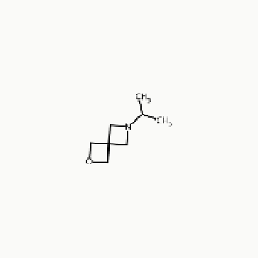 CC(C)N1CC2(COC2)C1